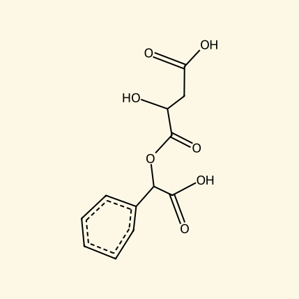 O=C(O)CC(O)C(=O)OC(C(=O)O)c1ccccc1